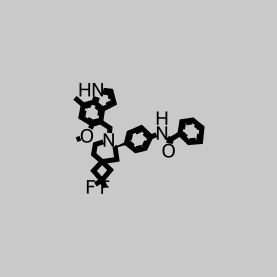 COc1cc(C)c2[nH]ccc2c1CN1CCC2(C[C@@H]1c1ccc(NC(=O)c3ccccc3)cc1)CC(F)(F)C2